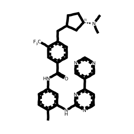 Cc1ccc(NC(=O)c2ccc(CC3CC[C@H](N(C)C)C3)c(C(F)(F)F)c2)cc1Nc1nccc(-c2cncnc2)n1